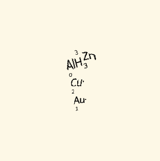 [AlH3].[Au].[Cu].[Zn]